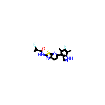 Cc1c(F)c(C)c2[nH]ncc2c1-c1ccc2nc(NC(=O)C3CC3F)sc2n1